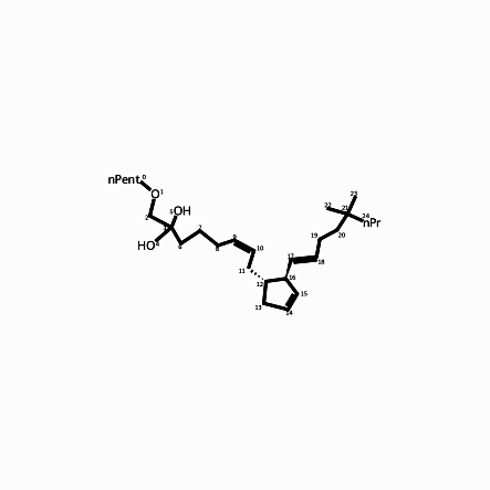 CCCCCOCC(O)(O)CCC/C=C\C[C@H]1CC=C[C@@H]1/C=C/CCC(C)(C)CCC